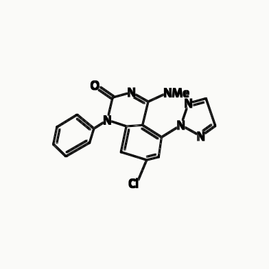 CNc1nc(=O)n(-c2ccccc2)c2cc(Cl)cc(-n3nccn3)c12